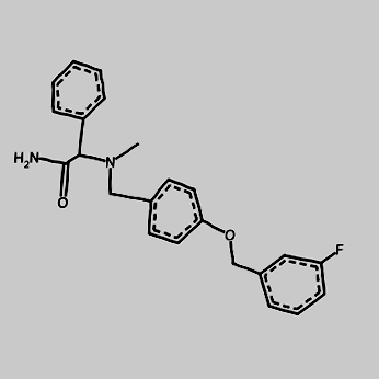 CN(Cc1ccc(OCc2cccc(F)c2)cc1)C(C(N)=O)c1ccccc1